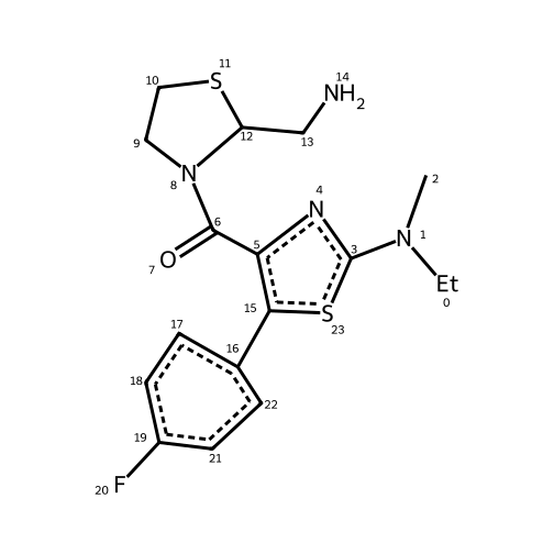 CCN(C)c1nc(C(=O)N2CCSC2CN)c(-c2ccc(F)cc2)s1